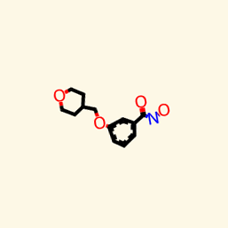 O=NC(=O)c1cccc(OCC2CCOCC2)c1